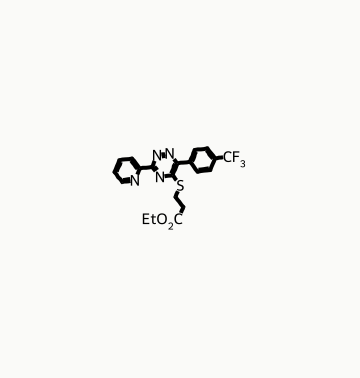 CCOC(=O)CCSc1nc(-c2ccccn2)nnc1-c1ccc(C(F)(F)F)cc1